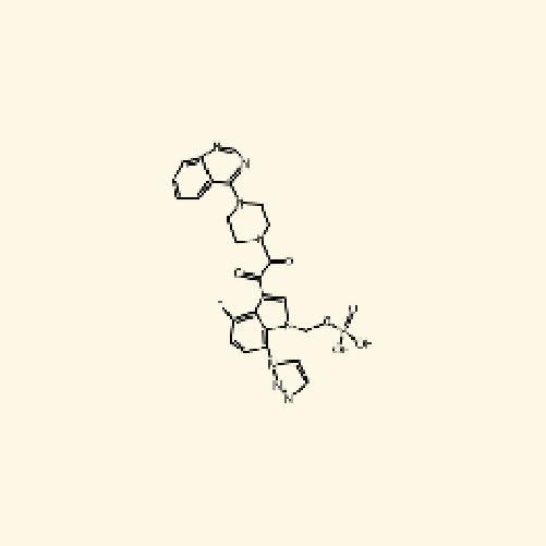 O=C(C(=O)N1CCN(c2ncnc3ccccc23)CC1)c1cn(COP(=O)(O)O)c2c(-n3ccnn3)ccc(F)c12